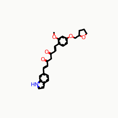 COc1cc(OCC2CCCO2)ccc1C=CC(=O)CC(=O)C=Cc1ccc2cc[nH]c2c1